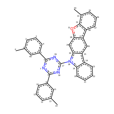 Cc1cccc(-c2nc(-c3cccc(C)c3)nc(-n3c4ccccc4c4cc5c(cc43)oc3c(C)cccc35)n2)c1